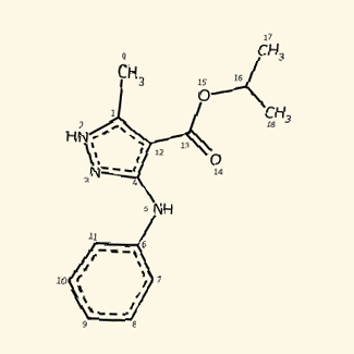 Cc1[nH]nc(Nc2ccccc2)c1C(=O)OC(C)C